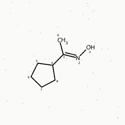 C/C(=N\O)C1CCCC1